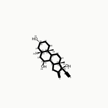 C#C[C@]1(O)C(=C)CC2C3C(CC[C@@]21C)[C@@]1(C)CC[C@@H](O)C[C@H]1C[C@@H]3O